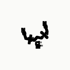 C[N+](C)(CC#N)CCC[N+](C)(C)CC#N.[Br-].[Cl-]